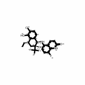 CC[C@@H]1C[C@@](O)(C(F)(F)F)[C@H](Nc2ccc(F)c3[nH]c(=O)ccc23)c2ccc(Cl)c(O)c21